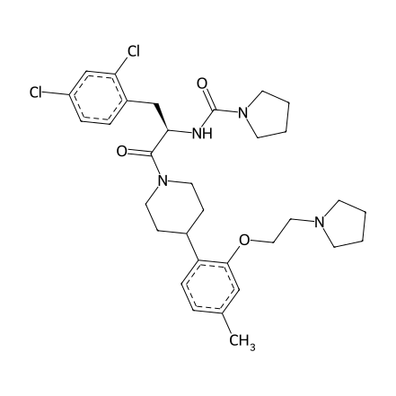 Cc1ccc(C2CCN(C(=O)[C@@H](Cc3ccc(Cl)cc3Cl)NC(=O)N3CCCC3)CC2)c(OCCN2CCCC2)c1